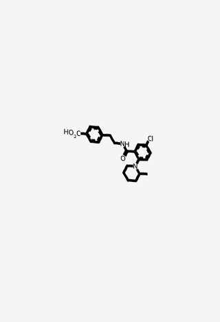 CC1CCCCN1c1ccc(Cl)cc1C(=O)NCCc1ccc(C(=O)O)cc1